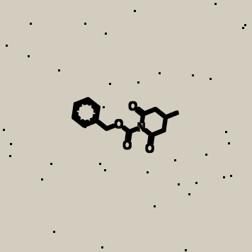 CC1CC(=O)N(C(=O)OCc2ccccc2)C(=O)C1